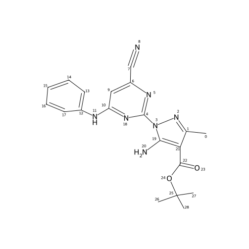 Cc1nn(-c2nc(C#N)cc(Nc3ccccc3)n2)c(N)c1C(=O)OC(C)(C)C